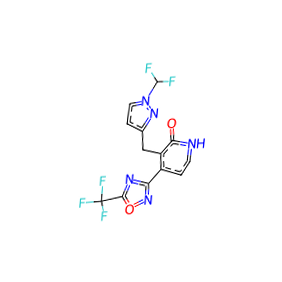 O=c1[nH]ccc(-c2noc(C(F)(F)F)n2)c1Cc1ccn(C(F)F)n1